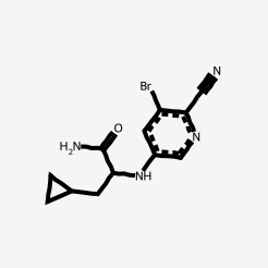 N#Cc1ncc(NC(CC2CC2)C(N)=O)cc1Br